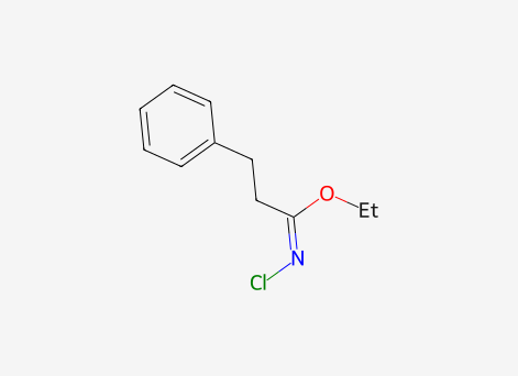 CCO/C(CCc1ccccc1)=N/Cl